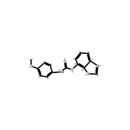 COc1ccc(NC(=O)Oc2cccc3ncsc23)cc1